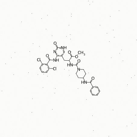 COC(=O)C(Cc1c[nH]c(=O)nc1NC(=O)c1c(Cl)cccc1Cl)NC(=O)N1CCC(NC(=O)c2ccccc2)CC1